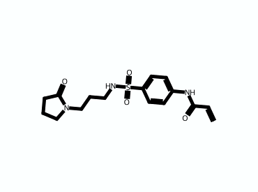 C=CC(=O)Nc1ccc(S(=O)(=O)NCCCN2CCCC2=O)cc1